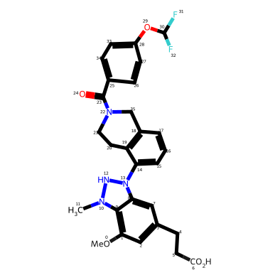 COc1cc(CCC(=O)O)cc2c1N(C)NN2c1cccc2c1CCN(C(=O)c1ccc(OC(F)F)cc1)C2